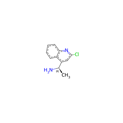 C[C@@H](N)c1cc(Cl)nc2ccccc12